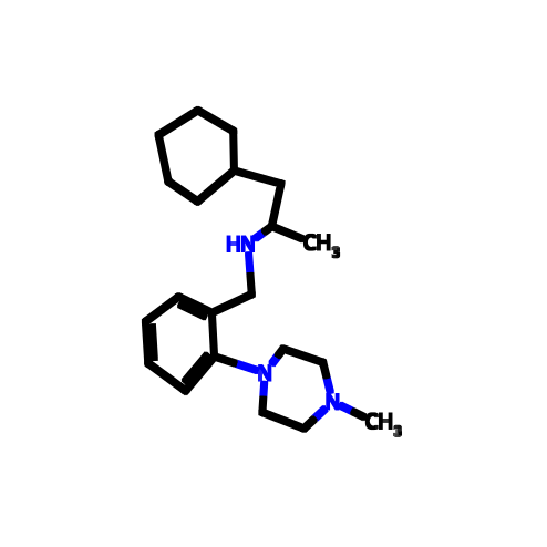 CC(CC1CCCCC1)NCc1ccccc1N1CCN(C)CC1